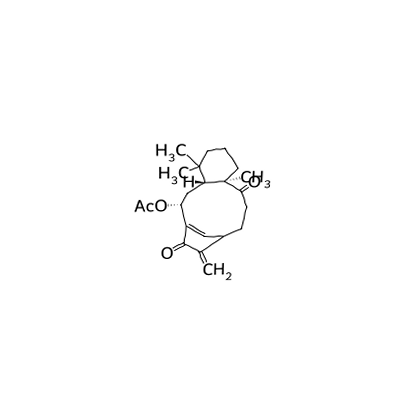 C=C1C(=O)C2=CC1CCC(=O)[C@]1(C)CCCC(C)(C)[C@H]1C[C@H]2OC(C)=O